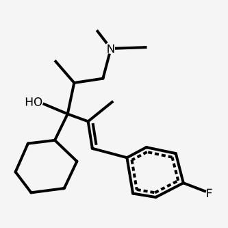 C/C(=C\c1ccc(F)cc1)C(O)(C(C)CN(C)C)C1CCCCC1